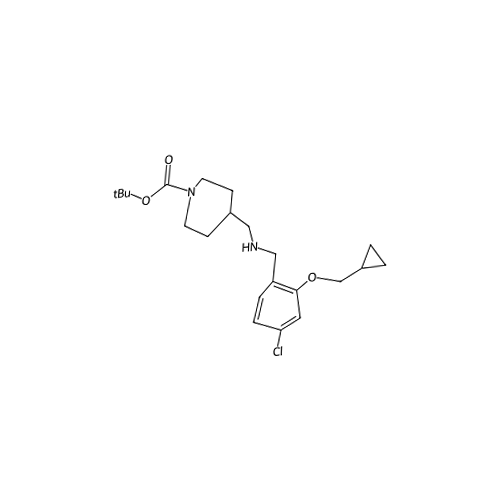 CC(C)(C)OC(=O)N1CCC(CNCc2ccc(Cl)cc2OCC2CC2)CC1